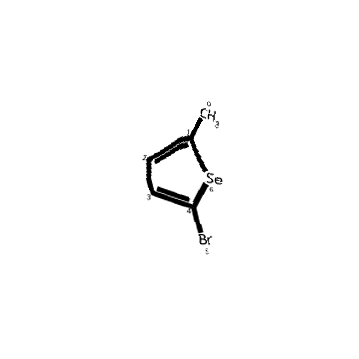 Cc1ccc(Br)[se]1